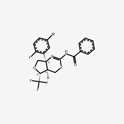 O=C(NC1=N[C@]2(c3cc(Br)ccc3F)CO[C@@H](C(F)(F)F)[C@@H]2CS1)c1ccccc1